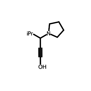 CC(C)C(C#CO)N1CCCC1